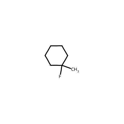 CC1(F)[CH]CCCC1